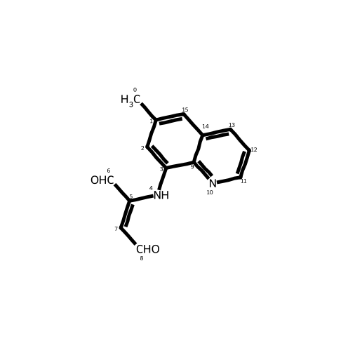 Cc1cc(N/C(C=O)=C\C=O)c2ncccc2c1